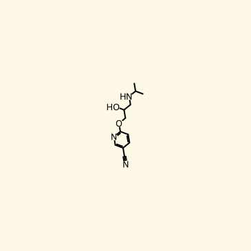 CC(C)NCC(O)COc1ccc(C#N)cn1